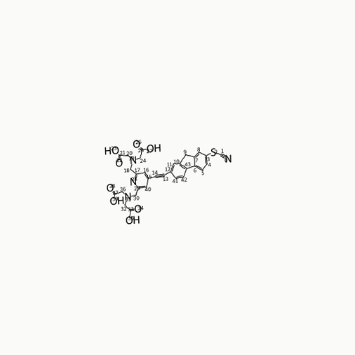 N#CSc1ccc2c(c1)Cc1cc(C#Cc3cc(CN(CC(=O)O)CC(=O)O)nc(CN(CC(=O)O)CC(=O)O)c3)ccc1-2